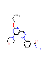 CNCCOc1nc(/C=N\Nc2cccc(C(N)=O)c2)cc(N2CCOCC2)n1